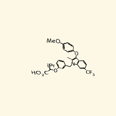 COc1ccc(Oc2c(C)n(Cc3cccc(OC(C(=O)O)C(C)C)c3)c3cc(C(F)(F)F)ccc23)cc1